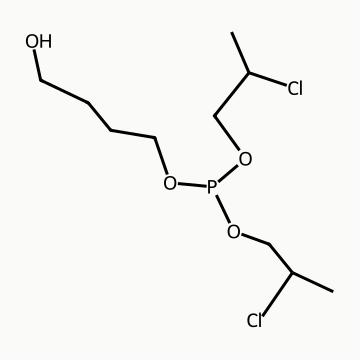 CC(Cl)COP(OCCCCO)OCC(C)Cl